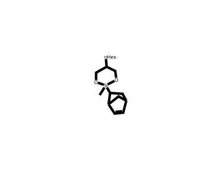 CCCCCCC1CO[Si](C)(C2CC3C=CC2C3)OC1